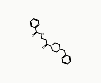 O=C(NCCC(=O)N1CCN(Cc2ccccc2)CC1)c1ccccc1